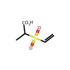 C=CS(=O)(=O)C(C)C(=O)O